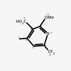 COc1nc(C(F)(F)F)cc(C)c1C(=O)O